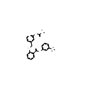 CN(C)C(=O)Nc1cc(CNc2ccccc2C(=O)Nc2cccc(S(C)(=O)=O)c2)ccn1